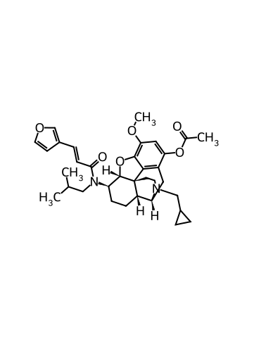 COc1cc(OC(C)=O)c2c3c1O[C@H]1[C@H](N(CC(C)C)C(=O)/C=C/c4ccoc4)CC[C@H]4[C@@H](C2)N(CC2CC2)CC[C@@]341